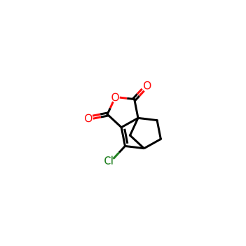 O=C1OC(=O)C23CCC(C2)C(Cl)=C13